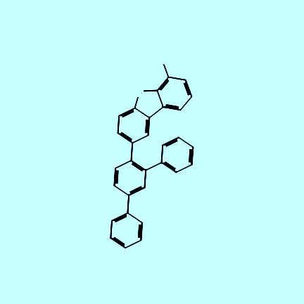 Clc1cccc2c1sc1ccc(-c3ccc(-c4ccccc4)cc3-c3ccccc3)cc12